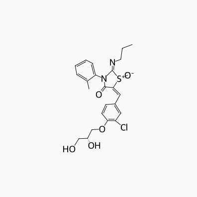 CCC/N=C1/N(c2ccccc2C)C(=O)/C(=C\c2ccc(OC[C@H](O)CO)c(Cl)c2)[S+]1[O-]